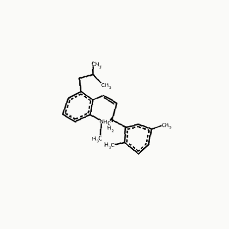 C=C(/C=C\c1c(CC(C)C)cccc1NC)c1cc(C)ccc1C